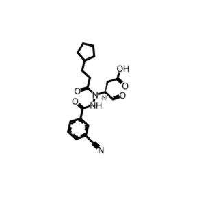 N#Cc1cccc(C(=O)NN(C(=O)CCC2CCCC2)[C@H](C=O)CC(=O)O)c1